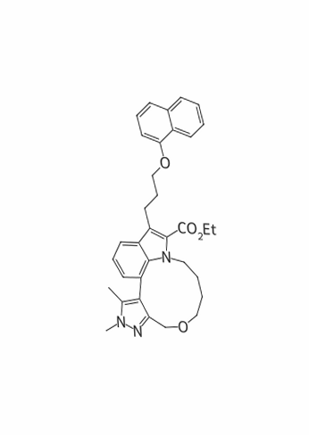 CCOC(=O)c1c(CCCOc2cccc3ccccc23)c2cccc3c2n1CCCCOCc1nn(C)c(C)c1-3